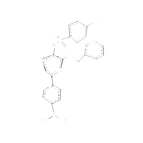 Cc1ccc(S(=O)(=O)Nc2ncc(-c3ccc(N(C)C)cc3)nc2OCc2cccnc2)cc1